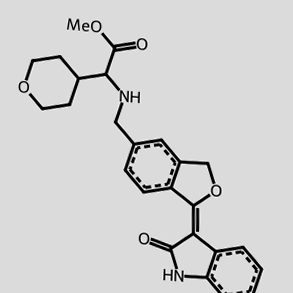 COC(=O)C(NCc1ccc2c(c1)COC2=C1C(=O)Nc2ccccc21)C1CCOCC1